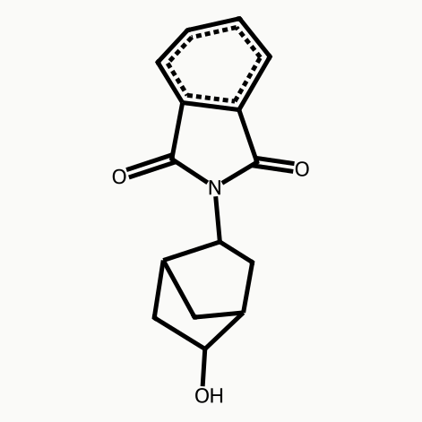 O=C1c2ccccc2C(=O)N1C1CC2CC1CC2O